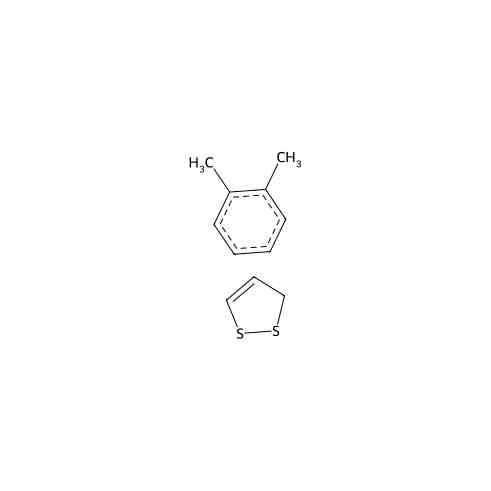 C1=CSSC1.Cc1ccccc1C